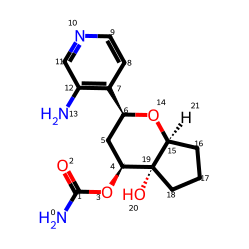 NC(=O)O[C@H]1C[C@@H](c2ccncc2N)O[C@H]2CCC[C@@]12O